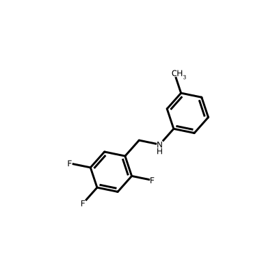 Cc1cccc(NCc2cc(F)c(F)cc2F)c1